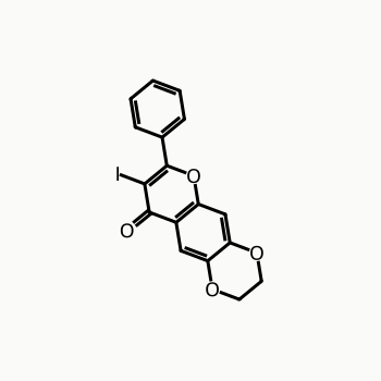 O=c1c(I)c(-c2ccccc2)oc2cc3c(cc12)OCCO3